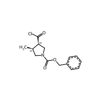 C[C@@H]1CN(C(=O)OCc2ccccc2)C[C@@H]1C(=O)Cl